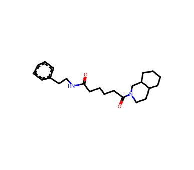 O=C(CCCCC(=O)N1CCC2CCCCC2C1)NCCc1ccccc1